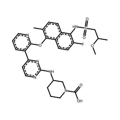 COC(C)CS(=O)(=O)Nc1c(F)ccc2c(Oc3ncccc3-c3ccnc(NC4CCCN(C(=O)O)C4)n3)c(C)ccc12